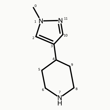 Cn1cc(C2CCNCC2)cn1